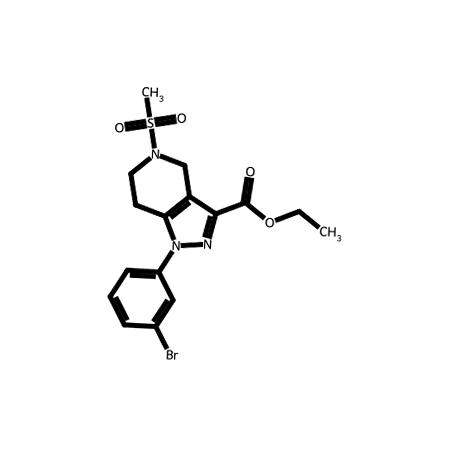 CCOC(=O)c1nn(-c2cccc(Br)c2)c2c1CN(S(C)(=O)=O)CC2